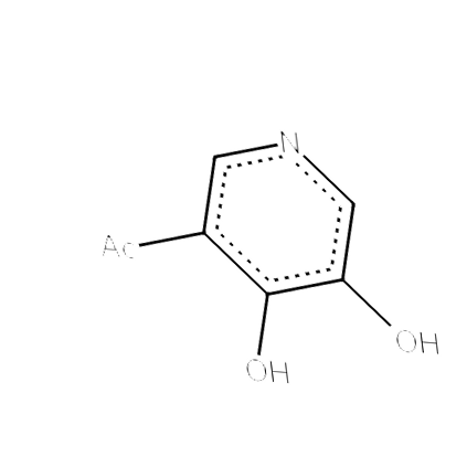 CC(=O)c1cncc(O)c1O